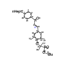 CCCCCCCc1ccc(C(=O)/C=C/c2cc(C)c(OC(C)(C)C(=O)OC(C)(C)C)c(C)c2)cc1